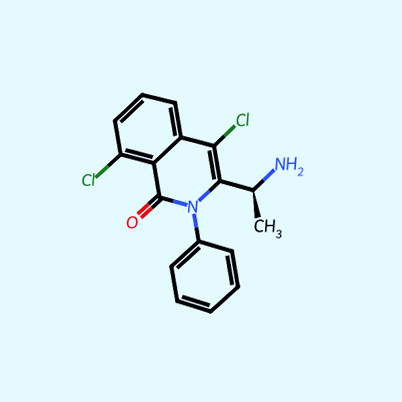 C[C@H](N)c1c(Cl)c2cccc(Cl)c2c(=O)n1-c1ccccc1